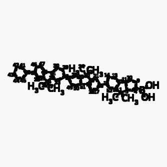 CC1(C)c2cc(B(O)O)ccc2-c2ccc(-c3ccc4c(c3)C(C)(C)c3cc(-c5ccc6c(c5)C(C)(C)c5cc(-c7ccccc7)ccc5-6)ccc3-4)cc21